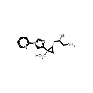 CC[C@H](CN)C[C@@H]1C[C@@]1(C(=O)O)c1cn(-c2ccccn2)cn1